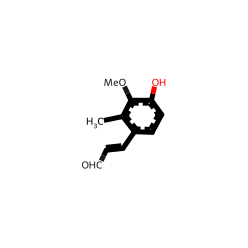 COc1c(O)ccc(C=CC=O)c1C